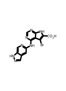 O=C(O)c1[nH]c2ncnc(Nc3cc4cn[nH]c4cn3)c2c1Br